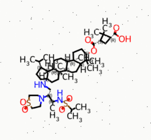 CC(C)[C@@H]1CC[C@]2(NC[C@H]([C@@H](C)NS(=O)(=O)C(C)C)N3CCS(=O)(=O)CC3)CC[C@]3(C)[C@H](CC[C@@H]4[C@@]5(C)CC[C@H](OC(=O)[C@H]6C[C@@H](C(=O)O)C6(C)C)C(C)(C)[C@@H]5CC[C@]43C)[C@@H]12